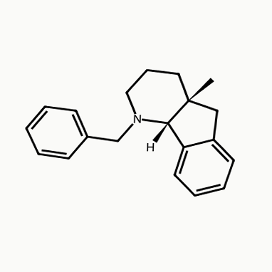 C[C@]12CCCN(Cc3ccccc3)[C@H]1c1ccccc1C2